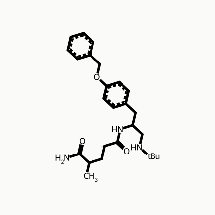 CC(C[CH]C(=O)NC(CNC(C)(C)C)Cc1ccc(OCc2ccccc2)cc1)C(N)=O